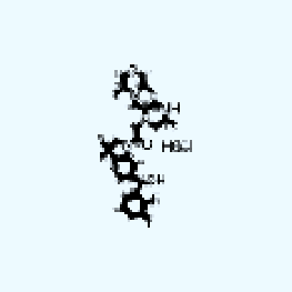 CC1CN(CC(=O)N2CC(C)(C)c3ncc(C(O)c4cccc(F)c4F)cc32)C(CN2C(C)COCC2C)CN1.Cl.Cl